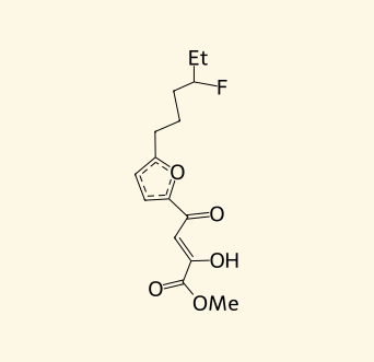 CCC(F)CCCc1ccc(C(=O)/C=C(\O)C(=O)OC)o1